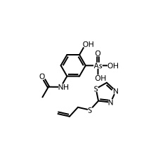 C=CCSc1nncs1.CC(=O)Nc1ccc(O)c([As](=O)(O)O)c1